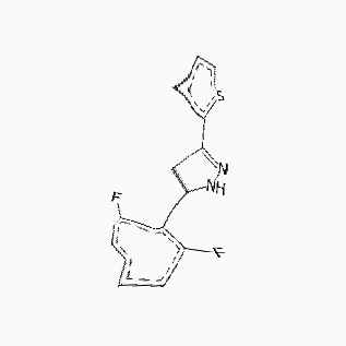 Fc1cccc(F)c1C1CC(c2cccs2)=NN1